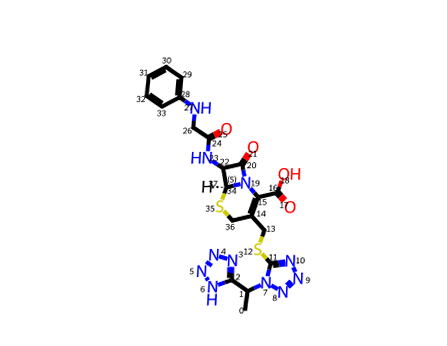 CC(c1nnn[nH]1)n1nnnc1SCC1=C(C(=O)O)N2C(=O)C(NC(=O)CNc3ccccc3)[C@@H]2SC1